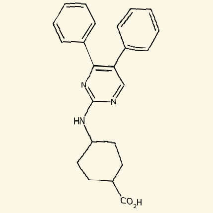 O=C(O)C1CCC(Nc2ncc(-c3ccccc3)c(-c3ccccc3)n2)CC1